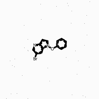 Brc1cnc2ccn(Oc3ccccc3)c2c1